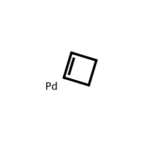 C1=CCC1.[Pd]